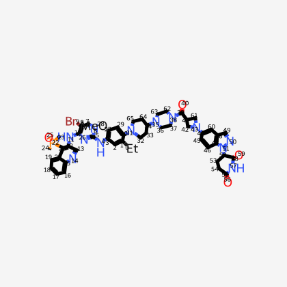 CCc1cc(Nc2ncc(Br)c(Nc3cnc4ccccc4c3P(C)(C)=O)n2)c(OC)cc1N1CCC(N2CCN(C(=O)C3CN(c4ccc5c(cnn5C5CCC(=O)NC5=O)c4)C3)CC2)CC1